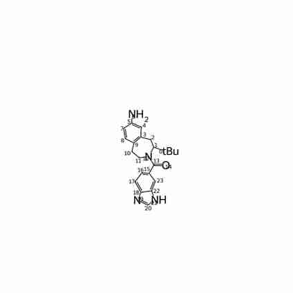 CC(C)(C)C1Cc2cc(N)ccc2CCN1C(=O)c1ccc2nc[nH]c2c1